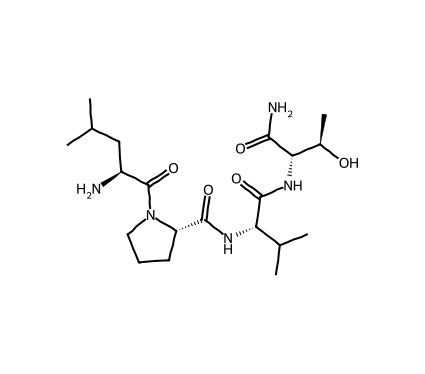 CC(C)C[C@H](N)C(=O)N1CCC[C@H]1C(=O)N[C@H](C(=O)N[C@H](C(N)=O)[C@@H](C)O)C(C)C